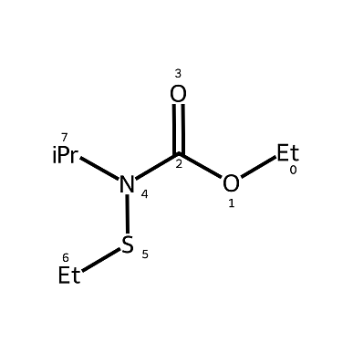 CCOC(=O)N(SCC)C(C)C